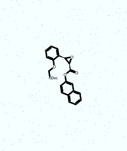 CCCCCCCCCCCOc1ccccc1[C@H]1O[C@H]1C(=O)Oc1ccc2ccccc2c1